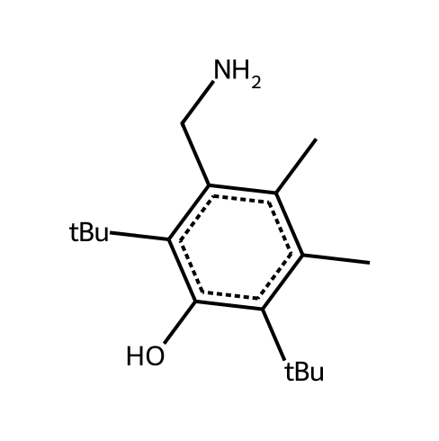 Cc1c(C)c(C(C)(C)C)c(O)c(C(C)(C)C)c1CN